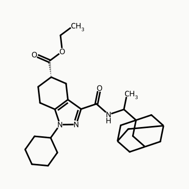 CCOC(=O)[C@H]1CCc2c(c(C(=O)NC(C)C34CC5CC(CC(C5)C3)C4)nn2C2CCCCC2)C1